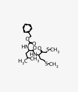 CSCCC(NC(=O)C(CC(C)C)NC(=O)OCc1ccccc1)C(=O)CSC